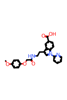 COc1ccc(OCC(=O)NCCc2cn(-c3ccccn3)c3ccc(C(=O)O)cc23)cc1